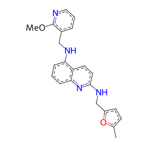 COc1ncccc1CNc1cccc2nc(NCc3ccc(C)o3)ccc12